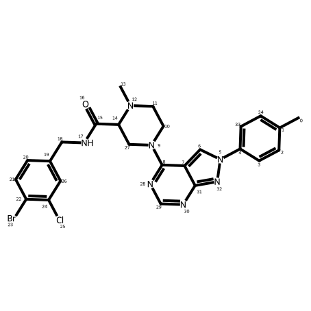 Cc1ccc(-n2cc3c(N4CCN(C)C(C(=O)NCc5ccc(Br)c(Cl)c5)C4)ncnc3n2)cc1